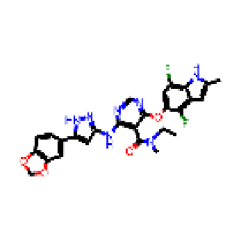 CCN(C)C(=O)c1c(Nc2cc(-c3ccc4c(c3)OCO4)[nH]n2)ncnc1Oc1cc(F)c2[nH]c(C)cc2c1F